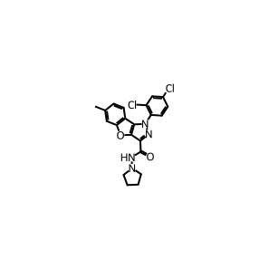 Cc1ccc2c(c1)oc1c(C(=O)NN3CCCC3)nn(-c3ccc(Cl)cc3Cl)c12